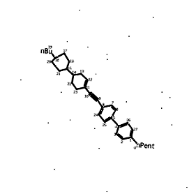 CCCCCc1ccc(-c2ccc(C#CC3=CCC(C4CCC(CCCC)CC4)CC3)cc2)cc1